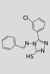 Sc1nnc(-c2cccc(Cl)c2)n1N=Cc1ccccc1